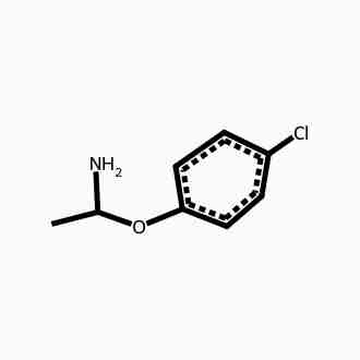 CC(N)Oc1ccc(Cl)cc1